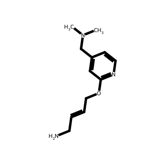 CN(C)Cc1ccnc(OCC=CCN)c1